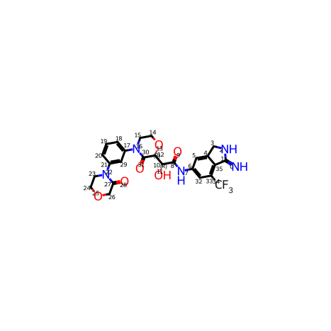 N=C1NCc2cc(NC(=O)[C@H](O)[C@H]3OCCN(c4cccc(N5CCOCC5=O)c4)C3=O)cc(C(F)(F)F)c21